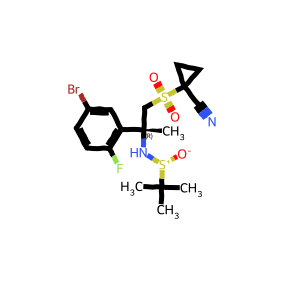 CC(C)(C)[S+]([O-])N[C@@](C)(CS(=O)(=O)C1(C#N)CC1)c1cc(Br)ccc1F